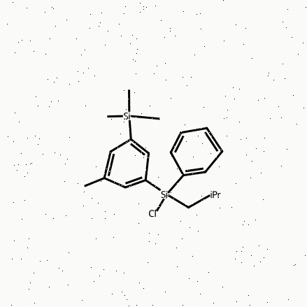 Cc1cc([Si](C)(C)C)cc([Si](Cl)(CC(C)C)c2ccccc2)c1